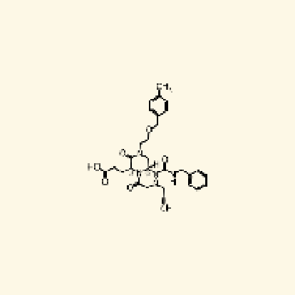 C#CCN1CC(=O)N2[C@@H](CCC(=O)O)C(=O)N(CCOCc3ccc(C)cc3)C[C@@H]2N1C(=O)NCc1ccccc1